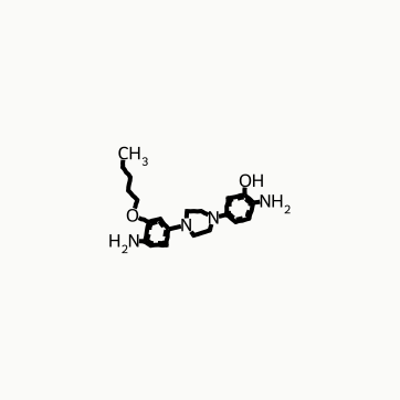 CCCCCOc1cc(N2CCN(c3ccc(N)c(O)c3)CC2)ccc1N